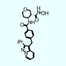 CC(C)c1nn2ccccc2c1Cc1ccc(C(=O)N[C@@H]2CCOC[C@@H]2C(=O)NO)cc1